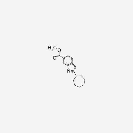 COC(=O)c1ccc2cn(C3CCCCCC3)nc2c1